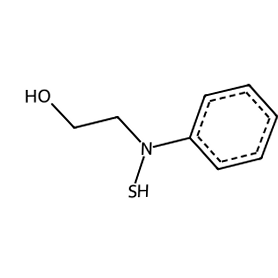 OCCN(S)c1ccccc1